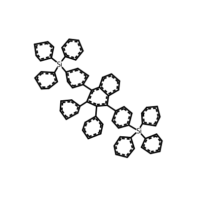 c1ccc(-c2c(-c3ccccc3)c(-c3ccc([Si](c4ccccc4)(c4ccccc4)c4ccccc4)cc3)c3ccccc3c2-c2ccc([Si](c3ccccc3)(c3ccccc3)c3ccccc3)cc2)cc1